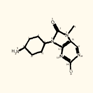 Cn1c(=O)n(C2CCC(N)CC2)c2nc(Cl)ncc21